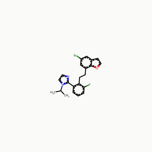 CC(C)n1ccnc1-c1cccc(F)c1CCc1cc(Br)cc2ccoc12